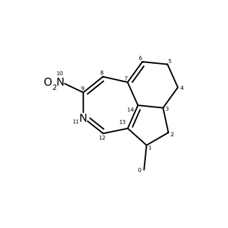 CC1CC2CCC=C3C=C([N+](=O)[O-])N=CC1=C32